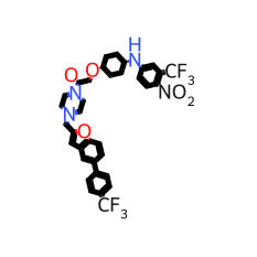 O=C(CO[C@H]1CC[C@H](Nc2ccc([N+](=O)[O-])c(C(F)(F)F)c2)CC1)N1CCN(Cc2cc3cc(-c4ccc(C(F)(F)F)cc4)ccc3o2)CC1